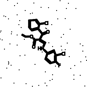 CCOC(=O)C(=CNc1ccc(F)c(Cl)c1)C(=O)c1ccccc1Cl